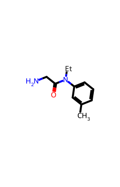 CCN(C(=O)CN)c1cccc(C)c1